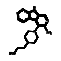 COCCN1CCN(c2c(N)ncc3[nH]c4ncccc4c23)CC1